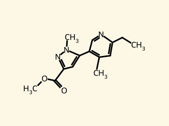 CCc1cc(C)c(-c2cc(C(=O)OC)nn2C)cn1